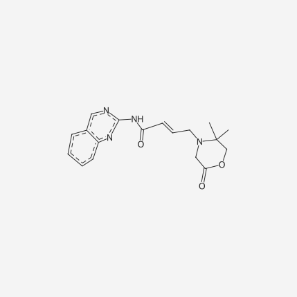 CC1(C)COC(=O)CN1CC=CC(=O)Nc1ncc2ccccc2n1